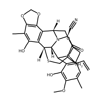 C=CCN1C2c3c(cc(C)c(OC)c3O)CC1[C@H](C#N)N1[C@H]2[C@@H]2SCC(N)C(=O)OC[C@H]1c1c3c(c(C)c(O)c12)OCO3